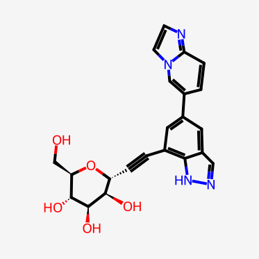 OC[C@H]1O[C@H](C#Cc2cc(-c3ccc4nccn4c3)cc3cn[nH]c23)[C@@H](O)[C@@H](O)[C@@H]1O